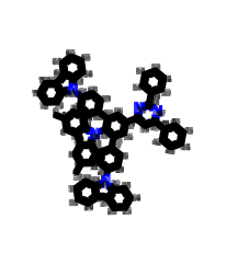 Cc1ccc2c(c1)c1cc(C)ccc1n2-c1c(-c2ccc(-n3c4ccccc4c4ccccc43)cc2)cc(-c2cc(-c3ccccc3)nc(-c3ccccc3)n2)cc1-c1ccc(-n2c3ccccc3c3ccccc32)cc1